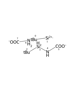 CC(C)(C)[Si+2].CC(C)(C)[SiH2]NC(=O)[O-].NC(=O)[O-]